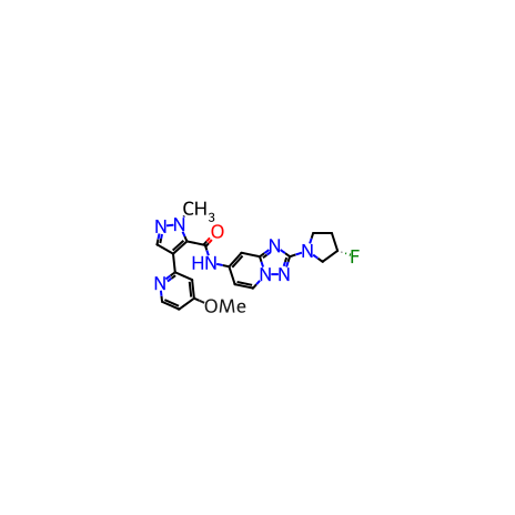 COc1ccnc(-c2cnn(C)c2C(=O)Nc2ccn3nc(N4CC[C@H](F)C4)nc3c2)c1